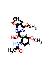 COc1ccc(NC(C)=O)c(C(O)c2nc(OC)cc(OC)n2)c1